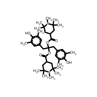 Cc1cc(CC(Cc2cc(C)c(O)c(C)c2)(OC(=O)C2CC(C)(C)N(C)C(C)(C)C2)OC(=O)C2CC(C)(C)N(C)C(C)(C)C2)cc(C)c1O